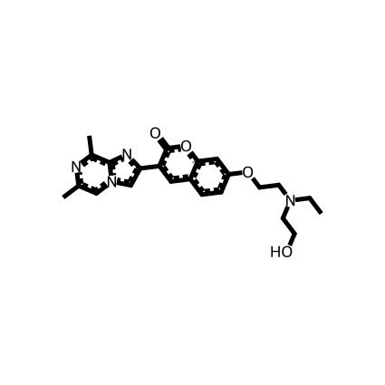 CCN(CCO)CCOc1ccc2cc(-c3cn4cc(C)nc(C)c4n3)c(=O)oc2c1